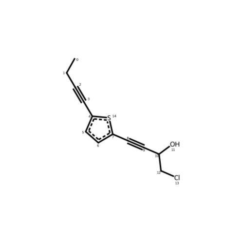 CCC#Cc1ccc(C#CC(O)CCl)s1